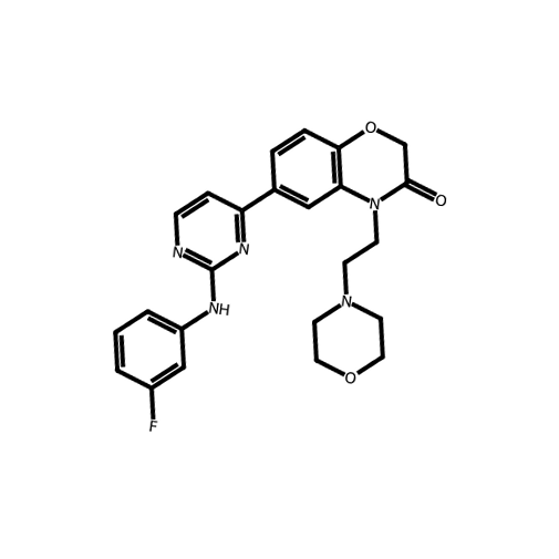 O=C1COc2ccc(-c3ccnc(Nc4cccc(F)c4)n3)cc2N1CCN1CCOCC1